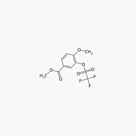 COC(=O)c1ccc(OC)c(OS(=O)(=O)C(F)(F)F)c1